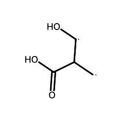 [CH2]C([CH]O)C(=O)O